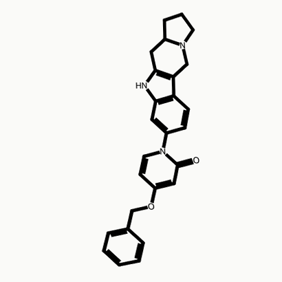 O=c1cc(OCc2ccccc2)ccn1-c1ccc2c3c([nH]c2c1)CC1CCCN1C3